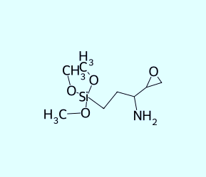 CO[Si](CCC(N)C1CO1)(OC)OC